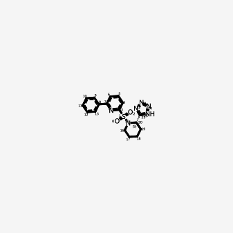 O=S(=O)(c1cccc(-c2ccccc2)n1)N1CCCC[C@H]1c1nnn[nH]1